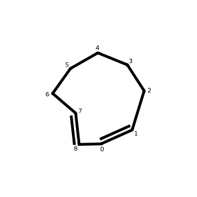 C1=C\CCCCC/C=C/1